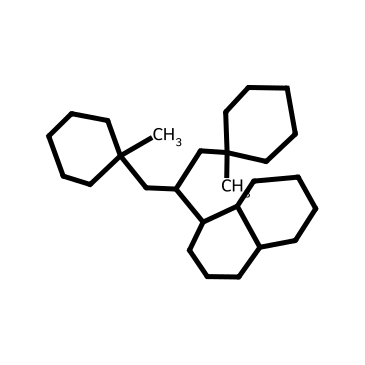 CC1(CC(CC2(C)CCCCC2)C2CCCC3CCCCC32)CCCCC1